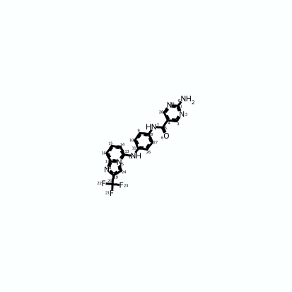 Nc1ncc(C(=O)Nc2ccc(Nc3cccc4nc(C(F)(F)F)cn34)cc2)cn1